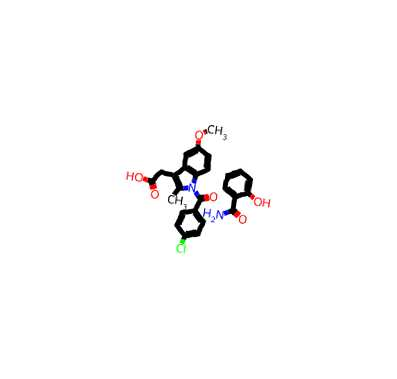 COc1ccc2c(c1)c(CC(=O)O)c(C)n2C(=O)c1ccc(Cl)cc1.NC(=O)c1ccccc1O